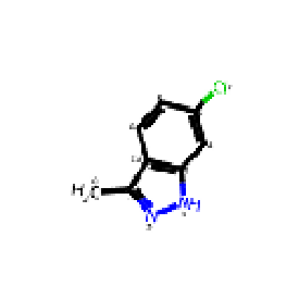 [CH2]c1n[nH]c2cc(Cl)ccc12